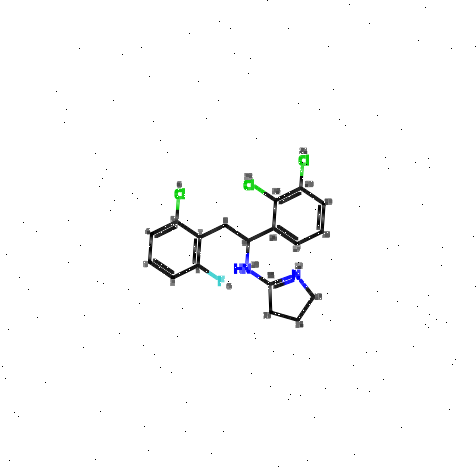 Fc1cccc(Cl)c1CC(NC1=NCCC1)c1cccc(Cl)c1Cl